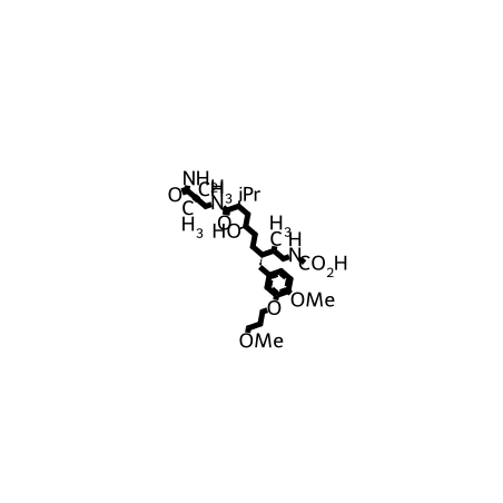 COCCCOc1cc(C[C@H](CC[C@H](O)C[C@H](C(=O)NCC(C)(C)C(N)=O)C(C)C)C(C)CNC(=O)O)ccc1OC